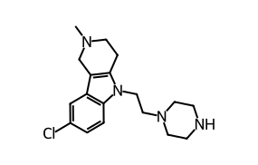 CN1CCc2c(c3cc(Cl)ccc3n2CCN2CCNCC2)C1